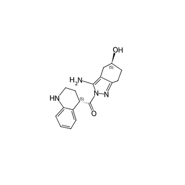 Nc1c2c(nn1C(=O)[C@H]1CCNc3ccccc31)CC[C@H](O)C2